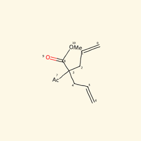 C=CCC(CC=C)(C(C)=O)C(=O)OC